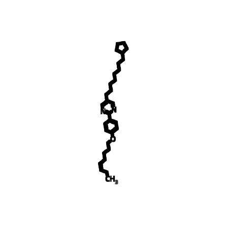 CC/C=C\CCCCOc1ccc(-c2ncc(CCCCCCCCC3CCCC3)cn2)cc1